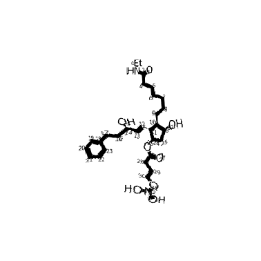 CCNC(=O)CCC/C=C\C[C@@H]1[C@@H](/C=C/[C@@H](O)CCc2ccccc2)[C@H](OC(=O)CCCON(O)O)C[C@@H]1O